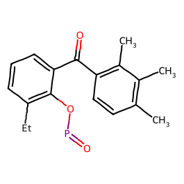 CCc1cccc(C(=O)c2ccc(C)c(C)c2C)c1OP=O